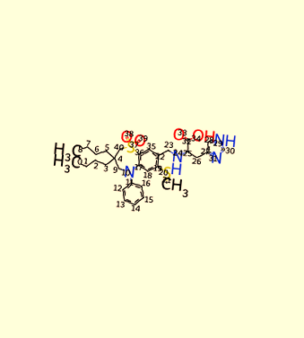 CCCCC1(CCCC)CN(c2ccccc2)c2cc(SC)c(CNC(Cc3c[nH]cn3)C(=O)O)cc2S(=O)(=O)C1